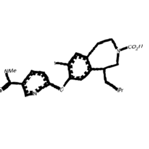 CNC(=O)c1ccc(Oc2cc3c(cc2I)CCN(C(=O)O)CC3CC(C)C)nc1